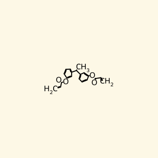 C=CC(=O)Oc1cccc(C(C)c2cccc(OC(=O)C=C)c2)c1